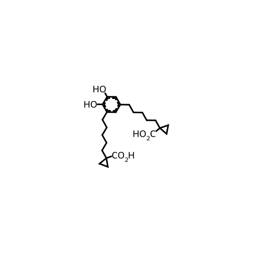 O=C(O)C1(CCCCCc2cc(O)c(O)c(CCCCCC3(C(=O)O)CC3)c2)CC1